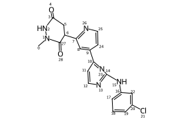 CN1NC(=O)CC(c2cc(-c3ccnc(Nc4cccc(Cl)c4)n3)ccn2)C1=O